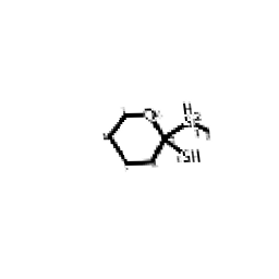 C[SiH2]C1(S)CCCCO1